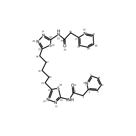 O=C(Cc1ccccn1)Nc1nnc(CCCCCc2nnc(NC(=O)Cc3ccccn3)s2)s1